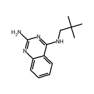 CC(C)(C)CNc1nc(N)nc2ccccc12